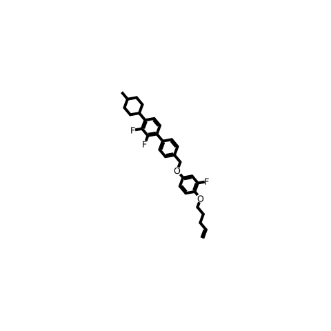 C=CCCCOc1ccc(OCc2ccc(-c3ccc(C4CCC(C)CC4)c(F)c3F)cc2)cc1F